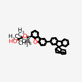 CC(C)(O)C(C)(C)OBc1cccc2c1oc1ccc(-c3ccc4c(c3)C3(c5ccccc5-4)C4CC5CC(C4)C3C5)cc12